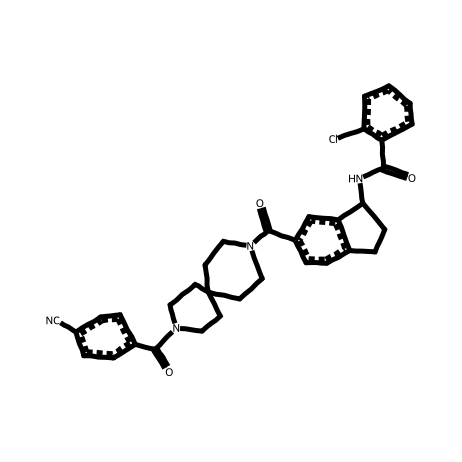 N#Cc1ccc(C(=O)N2CCC3(CC2)CCN(C(=O)c2ccc4c(c2)C(NC(=O)c2ccccc2Cl)CC4)CC3)cc1